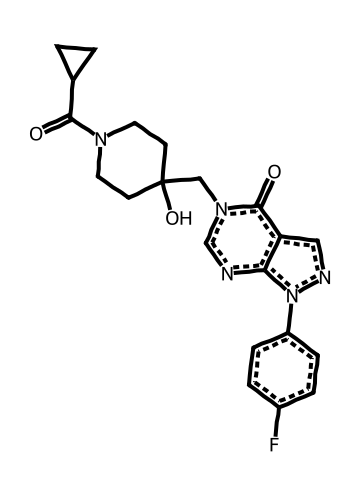 O=C(C1CC1)N1CCC(O)(Cn2cnc3c(cnn3-c3ccc(F)cc3)c2=O)CC1